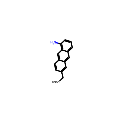 CCCCCCCCCCc1ccc2cc3c(N)cccc3cc2c1